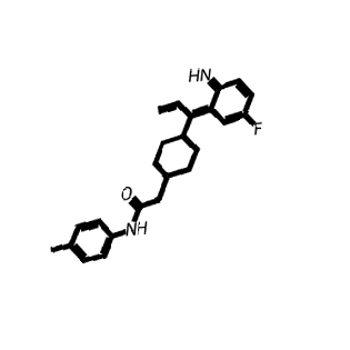 C=C/C(=C1/C=C(F)C=CC1=N)C1CCC(CC(=O)Nc2ccc(C)cc2)CC1